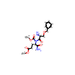 CC(C)OC(=O)CC[C@H](C(N)=O)N(C(=O)OC(C)(C)C)C(=O)[C@@H](N)COCc1ccccc1